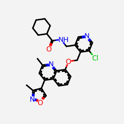 Cc1cc(-c2conc2C)c2cccc(OCc3c(Cl)cncc3CNC(=O)C3CCCCC3)c2n1